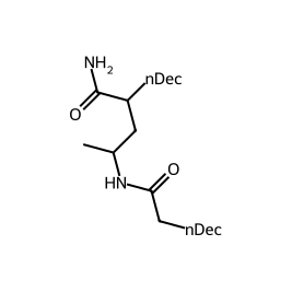 CCCCCCCCCCCC(=O)NC(C)CC(CCCCCCCCCC)C(N)=O